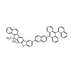 CC1(C)c2cc3sc4ccc(-c5ccc6cc(-c7c8ccccc8c(-c8cccc9ccccc89)c8ccccc78)ccc6c5)cc4c3cc2-c2ccc3ccccc3c21